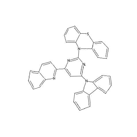 c1ccc2c(c1)Sc1ccccc1N2c1nc(-c2ccc3ccccc3n2)cc(-n2c3ccccc3c3ccccc32)n1